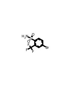 NS(=O)(=O)c1ccc(Br)cc1C(F)(F)F